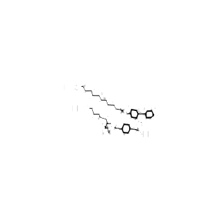 CCCCCCC(OC(=O)c1ccc(C(=O)O)cc1)C(F)(F)F.CCCCCCCCCCCCOc1ccc(-c2ccccc2)cc1